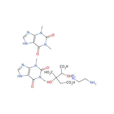 Cn1c(=O)c2[nH]cnc2n(C)c1=O.Cn1c(=O)c2[nH]cnc2n(C)c1=O.NCCN.O=C(O)CC(O)(C(=O)O)C(O)C(=O)O